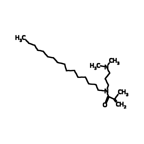 C=C(C)C(=O)N(CCCCCCCCCCCCCCCC)CCCN(C)C